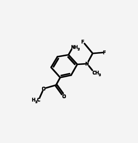 COC(=O)c1ccc(N)c(N(C)C(F)F)c1